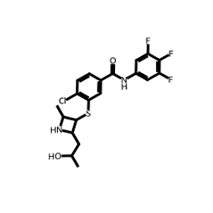 CC(O)CC1NC(C)C1Sc1cc(C(=O)Nc2cc(F)c(F)c(F)c2)ccc1Cl